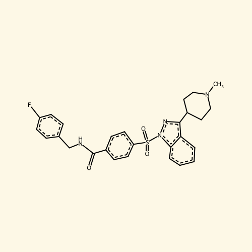 CN1CCC(c2nn(S(=O)(=O)c3ccc(C(=O)NCc4ccc(F)cc4)cc3)c3ccccc23)CC1